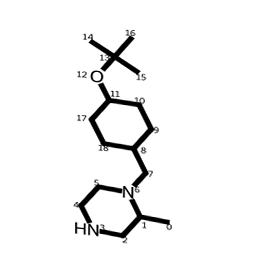 CC1CNCCN1CC1CCC(OC(C)(C)C)CC1